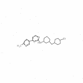 CCC1CCC(CC2CCCC(Nc3nccc(-c4ccc(C)nc4)n3)C2)CC1